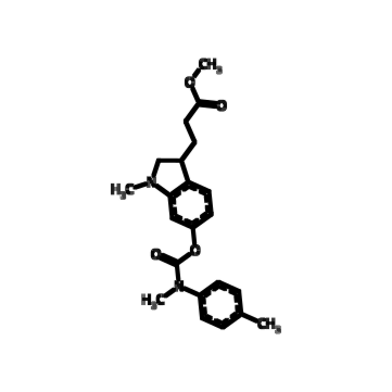 COC(=O)CCC1CN(C)c2cc(OC(=O)N(C)c3ccc(C)cc3)ccc21